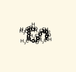 CNc1ccn(-c2ccnc3c2cc([C@H](C)N2CC=C(c4c(C)cc(C(=O)N5CCC(CN6CCN(Cc7cc8c(cc7F)N(C7CCC(=O)NC7=O)C(=O)C8(C)C)C[C@@H]6C)CC5)cc4F)CC2)n3C)c(=O)c1